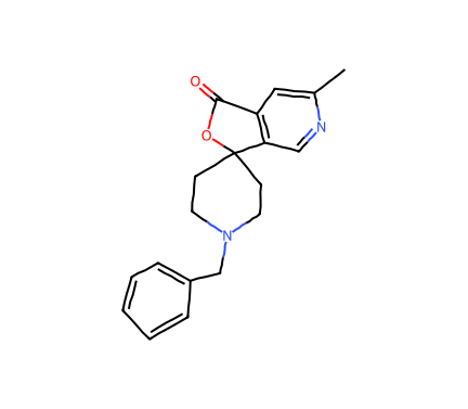 Cc1cc2c(cn1)C1(CCN(Cc3ccccc3)CC1)OC2=O